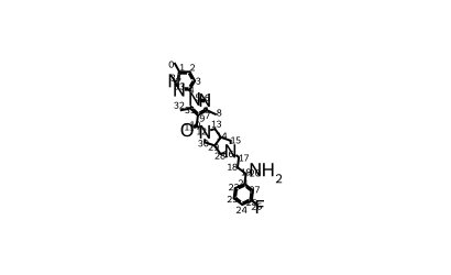 Cc1ccc(-n2nc(C)c(C(=O)N3CC4CN(CC[C@H](N)c5cccc(F)c5)CC4C3)c2C)nn1